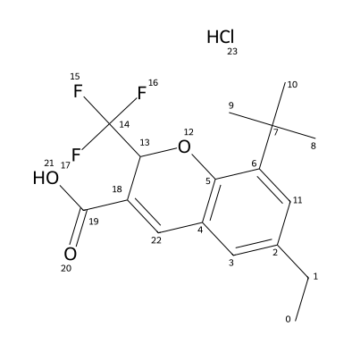 CCc1cc2c(c(C(C)(C)C)c1)OC(C(F)(F)F)C(C(=O)O)=C2.Cl